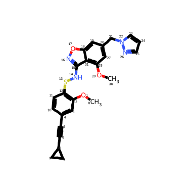 COc1cc(C#CC2CC2)ccc1SNc1noc2cc(Cn3cccn3)cc(OC)c12